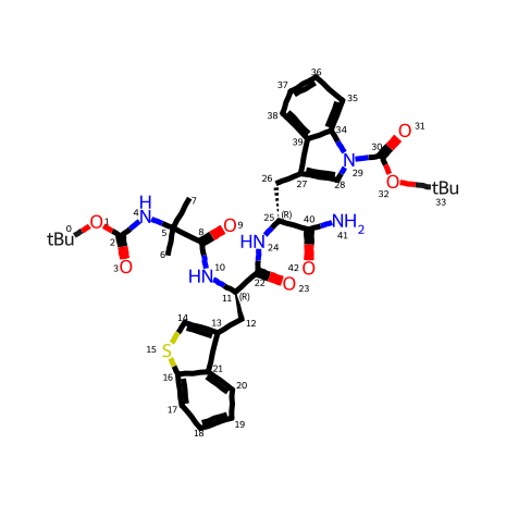 CC(C)(C)OC(=O)NC(C)(C)C(=O)N[C@H](Cc1csc2ccccc12)C(=O)N[C@H](Cc1cn(C(=O)OC(C)(C)C)c2ccccc12)C(N)=O